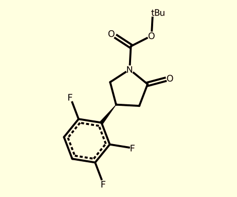 CC(C)(C)OC(=O)N1C[C@H](c2c(F)ccc(F)c2F)CC1=O